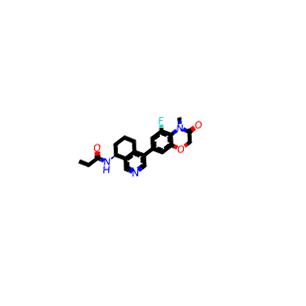 CCC(=O)N[C@@H]1CCCc2c(-c3cc(F)c4c(c3)OCC(=O)N4C)cncc21